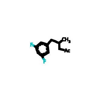 CC(=O)CC(C)Cc1cc(F)cc(F)c1